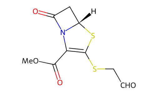 COC(=O)C1=C(SCC=O)S[C@H]2CC(=O)N12